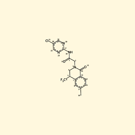 O=C(CN1CC(C(F)(F)F)c2cc(I)ccc2C1=O)Nc1ncc(Cl)cn1